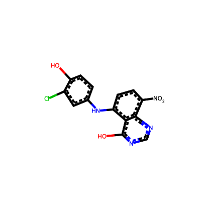 O=[N+]([O-])c1ccc(Nc2ccc(O)c(Cl)c2)c2c(O)ncnc12